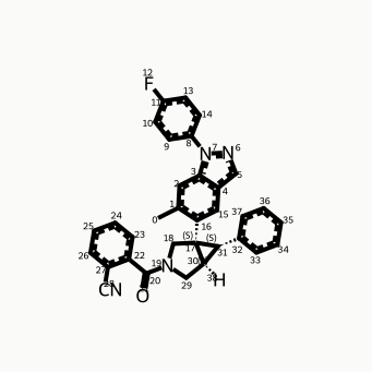 Cc1cc2c(cnn2-c2ccc(F)cc2)cc1[C@@]12CN(C(=O)c3ccccc3C#N)C[C@@H]1[C@H]2c1ccccc1